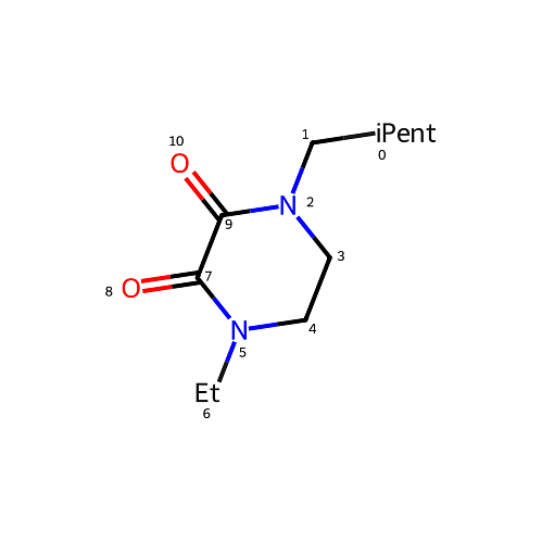 CCCC(C)CN1CCN(CC)C(=O)C1=O